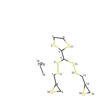 C1CSC(C(SSCC2CS2)SSCC2CS2)S1.CCCC